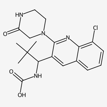 CC(C)(C)C(NC(=O)O)c1cc2cccc(Cl)c2nc1N1CCNC(=O)C1